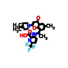 Cc1cc([C@@H](C)Nc2ccc(C(F)(F)F)nc2C(=O)O)c2oc(N3CCC(C)(C)CC3)cc(=O)c2c1